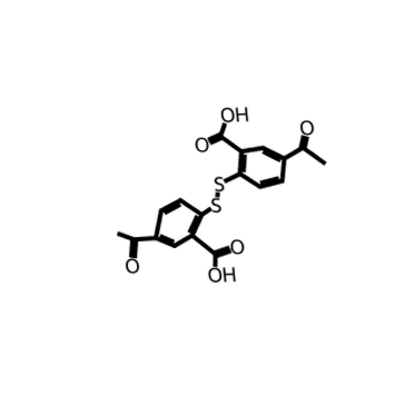 CC(=O)c1ccc(SSc2ccc(C(C)=O)cc2C(=O)O)c(C(=O)O)c1